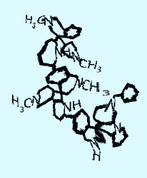 CN1CCC(C2(C3C=CCC(c4ccc5c(c4)CN(C)CC5(C4CCN(C)CC4)C4CCCC(c5ccc6c(c5)CNCC6(c5ccccn5)C5CCN(Cc6ccccc6)CC5)N4)N3)CN(C)Cc3ccccc32)CC1